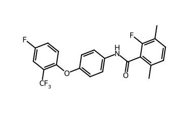 Cc1ccc(C)c(C(=O)Nc2ccc(Oc3ccc(F)cc3C(F)(F)F)cc2)c1F